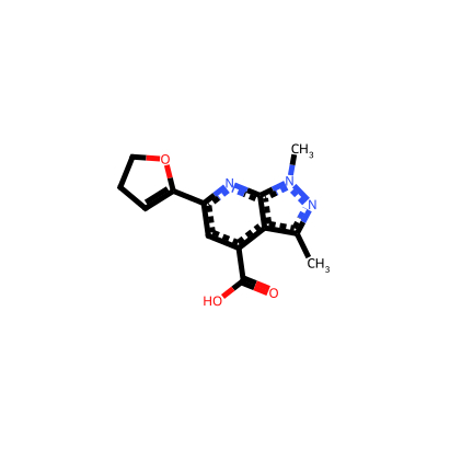 Cc1nn(C)c2nc(C3=CCCO3)cc(C(=O)O)c12